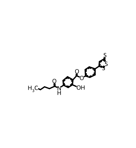 CCCCC(=O)Nc1ccc(C(=O)Oc2ccc(-c3cc(=S)ss3)cc2)c(O)c1